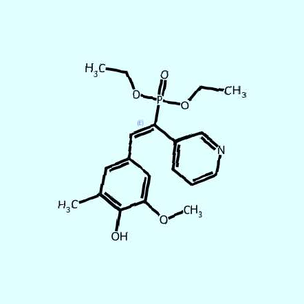 CCOP(=O)(OCC)/C(=C/c1cc(C)c(O)c(OC)c1)c1cccnc1